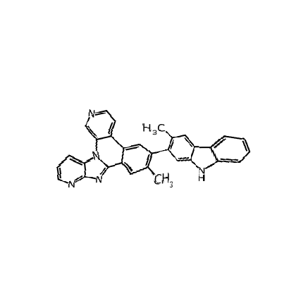 Cc1cc2c(cc1-c1cc3c4ccncc4n4c5cccnc5nc4c3cc1C)[nH]c1ccccc12